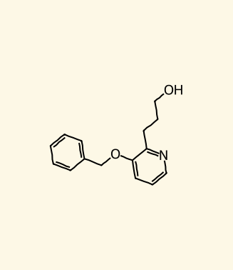 OCCCc1ncccc1OCc1ccccc1